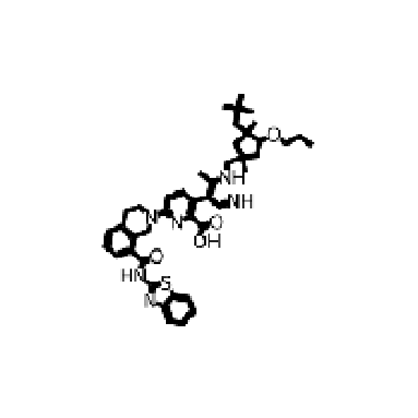 CCCOC1CC(C)(CN/C(C)=C(\C=N)c2ccc(N3CCc4cccc(C(=O)Nc5nc6ccccc6s5)c4C3)nc2C(=O)O)CC1(C)CC(C)(C)C